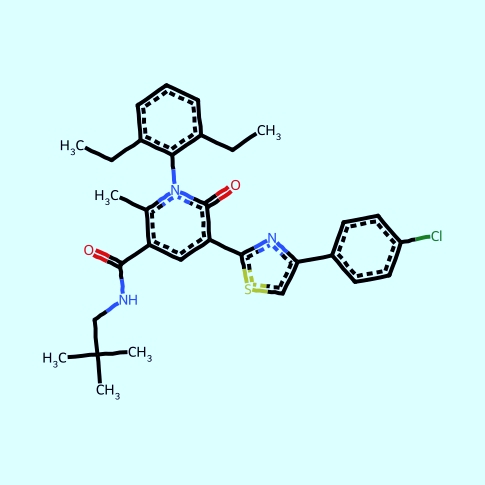 CCc1cccc(CC)c1-n1c(C)c(C(=O)NCC(C)(C)C)cc(-c2nc(-c3ccc(Cl)cc3)cs2)c1=O